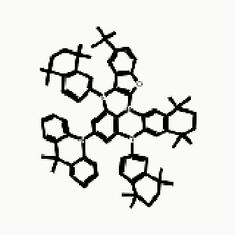 CC(C)(C)c1ccc2oc3c(c2c1)N(c1ccc2c(c1)C(C)(C)CCC2(C)C)c1cc(N2c4ccccc4C(C)(C)c4ccccc42)cc2c1B3c1cc3c(cc1N2c1ccc2c(c1)C(C)(C)CCC2(C)C)C(C)(C)CCC3(C)C